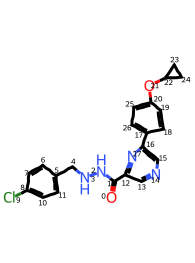 O=C(NNCc1ccc(Cl)cc1)c1cncc(-c2ccc(OC3CC3)cc2)n1